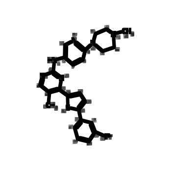 Cc1cnc(Nc2ccc(N3CCN(C)CC3)nc2)nc1-c1ccc(-c2cccc(C(C)C)c2)s1